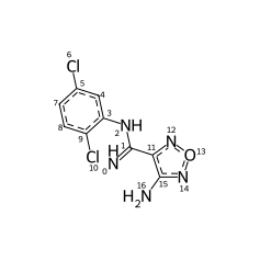 N=C(Nc1cc(Cl)ccc1Cl)c1nonc1N